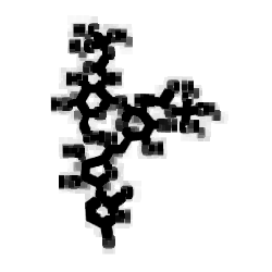 CC(C)(C)OC(=O)NC1C(O)[C@H](O)[C@H](CO)O[C@@H]1O[C@@H]1O[C@H](C[C@@H](O)[C@H]2O[C@@H](n3ccc(=O)[nH]c3=O)[C@H](O)[C@@H]2O)C(O)C(O)[C@H]1NC(=O)OC(C)(C)C